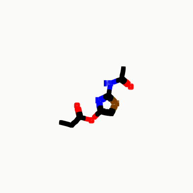 CCC(=O)Oc1csc(NC(C)=O)n1